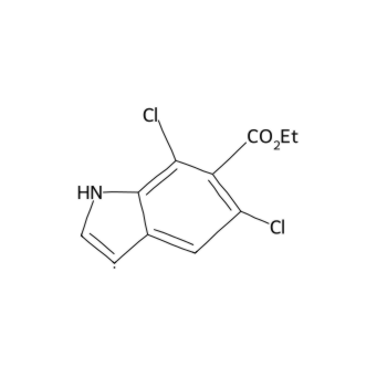 CCOC(=O)c1c(Cl)cc2[c]c[nH]c2c1Cl